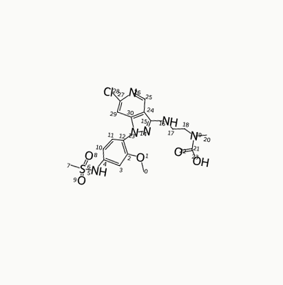 COc1cc(NS(C)(=O)=O)ccc1-n1nc(NCCN(C)C(=O)O)c2cnc(Cl)cc21